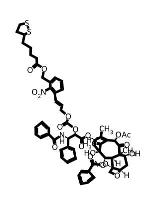 CC(=O)O[C@H]1C(=O)[C@@]2(C)[C@H]([C@H](OC(=O)c3ccccc3)[C@]3(O)C[C@H](OC(=O)[C@H](OC(=O)OC/C=C/c4cccc(COC(=O)CCCCC5CCSS5)c4[N+](=O)[O-])[C@@H](NC(=O)c4ccccc4)c4ccccc4)C(C)=C1C3(C)C)[C@]1(OC(C)=O)CO[C@@H]1C[C@@H]2O